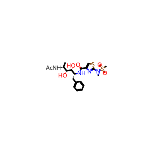 CC(=O)N[C@@H](C)[C@@H](O)[C@H](O)[C@@H](Cc1ccccc1)NC(=O)c1csc(N(C)S(C)(=O)=O)n1